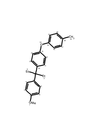 CCC(CC)(c1ccc(OC)cc1)c1ccc(Oc2ccc(C)cc2)cc1